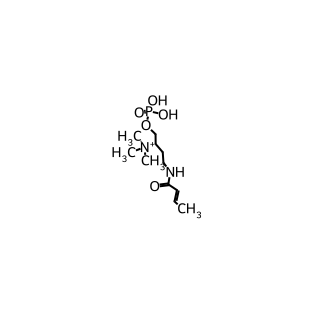 CC=CC(=O)NCCC(COP(=O)(O)O)[N+](C)(C)C